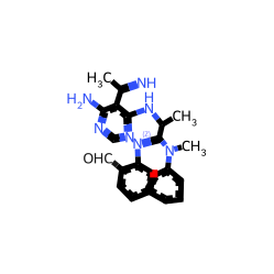 CC(=N)c1c(N)ncnc1NC(C)/C(=N/c1ccccc1C=O)N(C)c1ccccc1